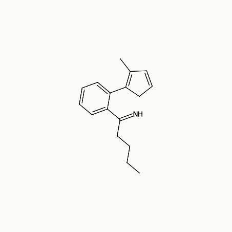 CCCCC(=N)c1ccccc1C1=C(C)C=CC1